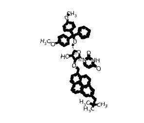 COc1ccc(C(OC[C@@H]2O[C@H](n3ccc(=O)[nH]c3=O)C(OCc3ccc4ccc5cc(CC(C)(C)C)cc6ccc3c4c56)C2O)(c2ccccc2)c2ccc(OC)cc2)cc1